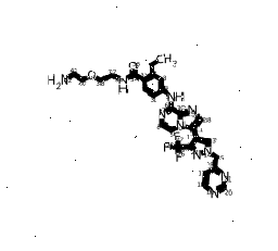 CCc1cc(Nc2nccn3c(-c4cn(Cc5ccncn5)nc4C(F)(F)F)cnc23)ccc1C(=O)NCCOCCN